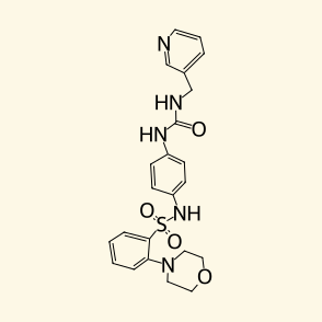 O=C(NCc1cccnc1)Nc1ccc(NS(=O)(=O)c2ccccc2N2CCOCC2)cc1